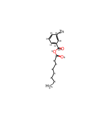 CCCCCCCC(=O)OC(=O)c1ccc[c]([Zn])c1